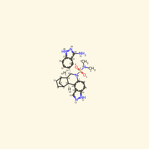 CN(C)S(=O)(=O)N1c2ccc3[nH]ncc3c2[C@H]2C3CCC(C3)[C@H]2[C@@H]1c1ccc2[nH]nc(N)c2c1